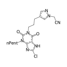 CCCCCn1c(=O)n(CCCc2cnn(CC#N)c2)c(=O)c2[nH]c(Cl)nc21